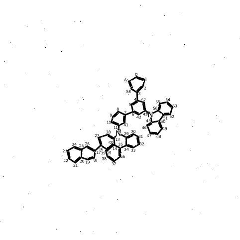 c1ccc(-c2cc(-c3cccc(N(c4ccc(-c5ccc6ccccc6c5)cc4)c4ccccc4-c4ccccc4)c3)cc(-n3c4ccccc4c4ccccc43)c2)cc1